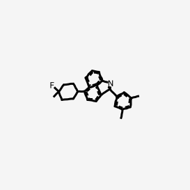 Cc1cc(C)cc(C2=Nc3cccc4c(C5CCC(C)(F)CC5)ccc2c34)c1